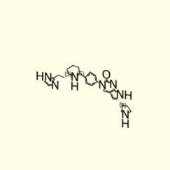 O=c1nc2[nH]c([C@@H]3CCNC3)cc2cn1-c1ccc([C@@H]2CCC[C@@H](CCc3ncc[nH]3)N2)cc1